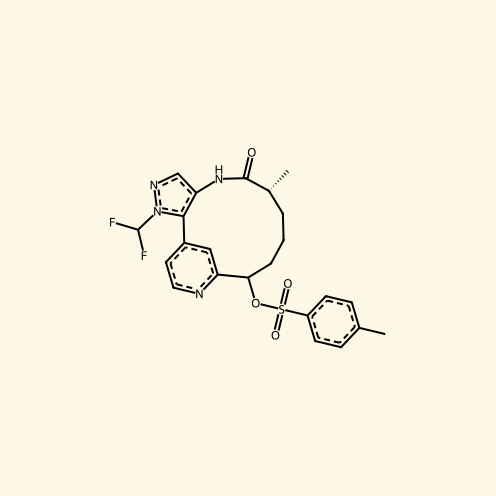 Cc1ccc(S(=O)(=O)OC2CCC[C@@H](C)C(=O)Nc3cnn(C(F)F)c3-c3ccnc2c3)cc1